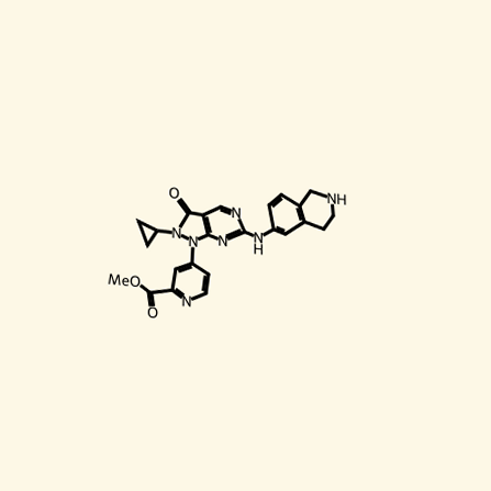 COC(=O)c1cc(-n2c3nc(Nc4ccc5c(c4)CCNC5)ncc3c(=O)n2C2CC2)ccn1